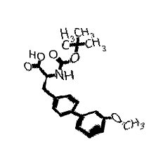 COc1cccc(-c2ccc(C[C@H](NC(=O)OC(C)(C)C)C(=O)O)cc2)c1